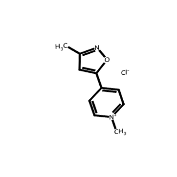 Cc1cc(-c2cc[n+](C)cc2)on1.[Cl-]